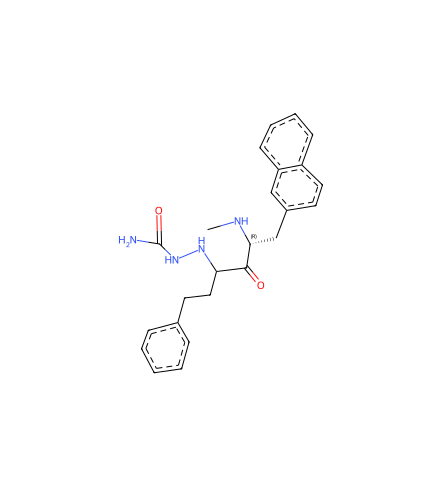 CN[C@H](Cc1ccc2ccccc2c1)C(=O)C(CCc1ccccc1)NNC(N)=O